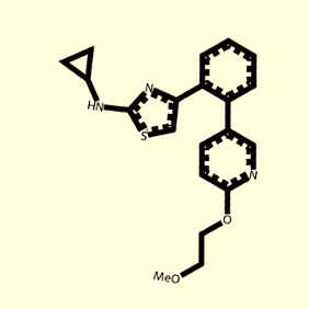 COCCOc1ccc(-c2ccccc2-c2csc(NC3CC3)n2)cn1